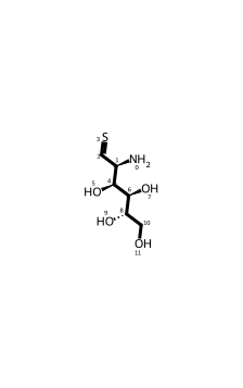 N[C@H](C=S)[C@H](O)[C@@H](O)[C@@H](O)CO